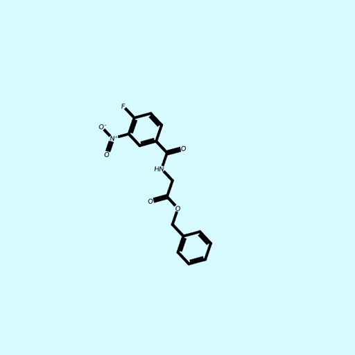 O=C(CNC(=O)c1ccc(F)c([N+](=O)[O-])c1)OCc1ccccc1